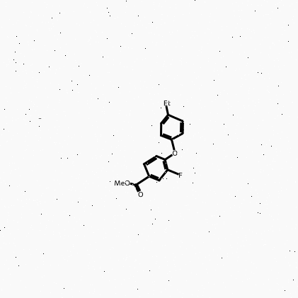 CCc1ccc(Oc2ccc(C(=O)OC)cc2F)cc1